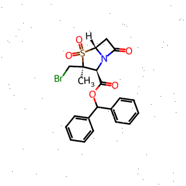 C[C@@]1(CBr)[C@H](C(=O)OC(c2ccccc2)c2ccccc2)N2C(=O)C[C@H]2S1(=O)=O